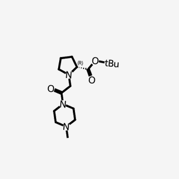 CN1CCN(C(=O)CN2CCC[C@@H]2C(=O)OC(C)(C)C)CC1